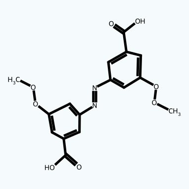 COOc1cc(/N=N/c2cc(OOC)cc(C(=O)O)c2)cc(C(=O)O)c1